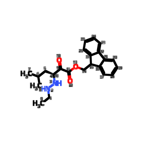 CCNN[C@@H](CC(C)C)C(=O)C(=O)OCC1c2ccccc2-c2ccccc21